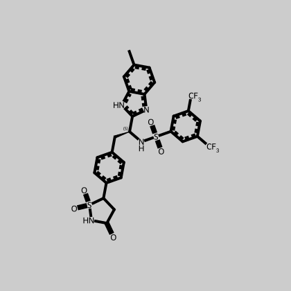 Cc1ccc2nc([C@H](Cc3ccc(C4CC(=O)NS4(=O)=O)cc3)NS(=O)(=O)c3cc(C(F)(F)F)cc(C(F)(F)F)c3)[nH]c2c1